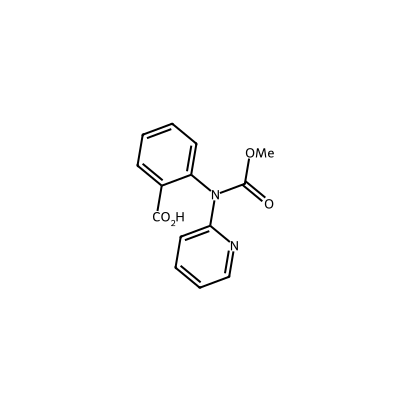 COC(=O)N(c1ccccn1)c1ccccc1C(=O)O